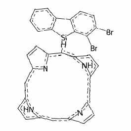 Brc1ccc2c(c1Br)[SiH](c1c3nc(cc4ccc(cc5nc(cc6ccc1[nH]6)C=C5)[nH]4)C=C3)c1ccccc1-2